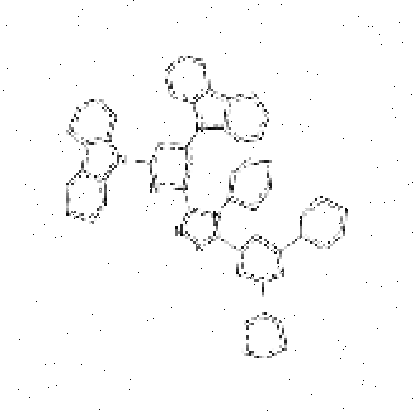 c1ccc(-c2cc(-c3ccccc3)cc(-c3nnc(-c4cc(-n5c6ccccc6c6ccccc65)cc(-n5c6ccccc6c6ccccc65)n4)n3-c3ccccc3)c2)cc1